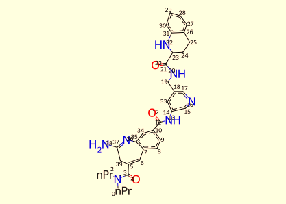 CCCN(CCC)C(=O)C1=Cc2ccc(C(=O)Nc3cncc(CNC(=O)C4CCc5ccccc5N4)c3)cc2N=C(N)C1